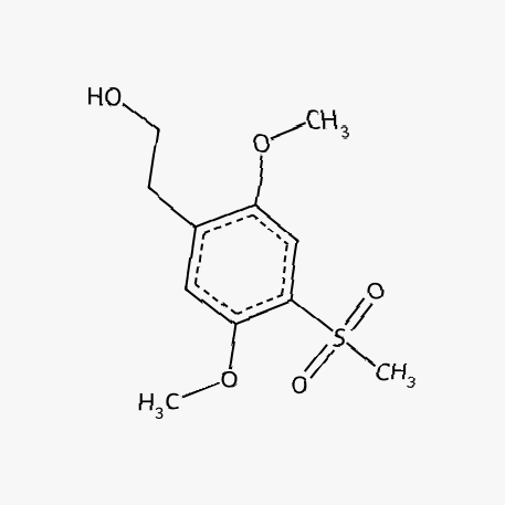 COc1cc(S(C)(=O)=O)c(OC)cc1CCO